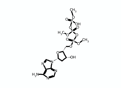 COP(=O)(O)OP(=O)(OC)OP(=O)(OC)OC[C@H]1O[C@@H](n2cnc3c(N)ncnc32)C[C@H]1O